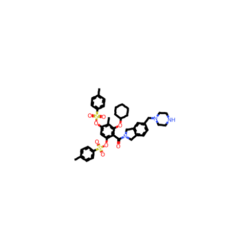 Cc1ccc(S(=O)(=O)Oc2cc(OS(=O)(=O)c3ccc(C)cc3)c(C(=O)N3Cc4ccc(CN5CCNCC5)cc4C3)c(OC3CCCCC3)c2C)cc1